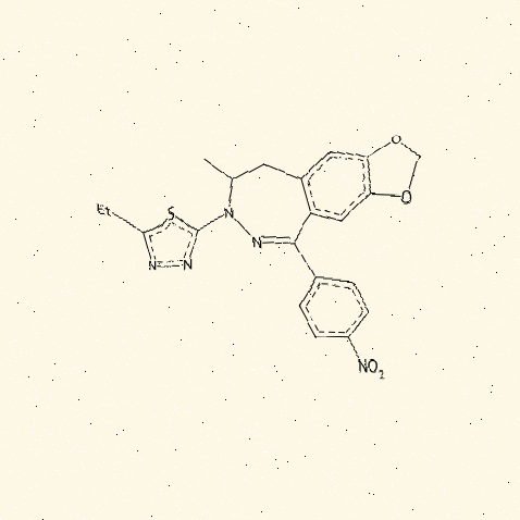 CCc1nnc(N2N=C(c3ccc([N+](=O)[O-])cc3)c3cc4c(cc3CC2C)OCO4)s1